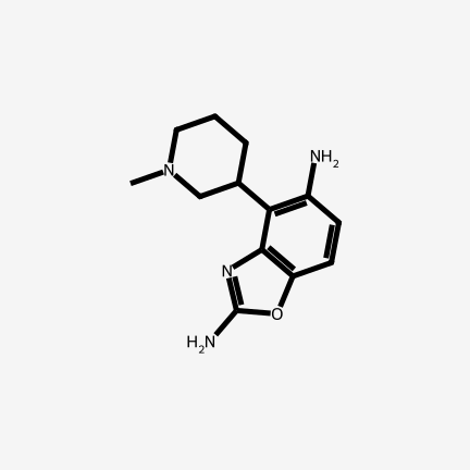 CN1CCCC(c2c(N)ccc3oc(N)nc23)C1